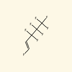 FC=CC(F)(F)C(F)(F)C(F)(F)F